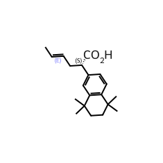 C/C=C/C[C@H](C(=O)O)c1ccc2c(c1)C(C)(C)CCC2(C)C